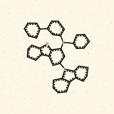 c1ccc(-c2cccc(N(c3ccccc3)c3cc(-n4c5ccccc5c5ccccc54)cc4c3oc3ccccc34)c2)cc1